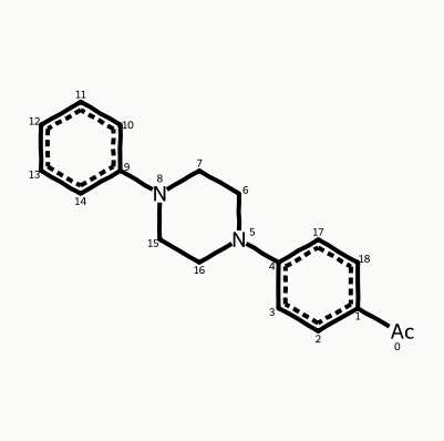 CC(=O)c1ccc(N2CCN(c3ccccc3)CC2)cc1